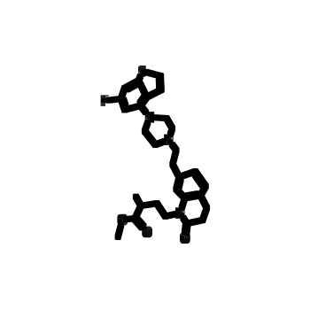 COC(=O)C(C)CCN1C(=O)CCc2ccc(CCN3CCN(c4cc(F)cc5sccc45)CC3)cc21